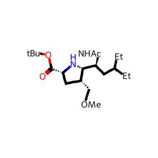 CCC(CC)C[C@H](NC(C)=O)[C@H]1N[C@@H](C(=O)OC(C)(C)C)C[C@H]1COC